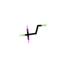 FCCC(F)(I)I